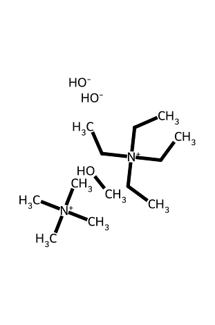 CC[N+](CC)(CC)CC.CO.C[N+](C)(C)C.[OH-].[OH-]